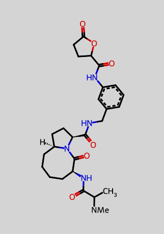 CNC(C)C(=O)N[C@H]1CCCC[C@H]2CC[C@@H](C(=O)NCc3cccc(NC(=O)C4CCC(=O)O4)c3)N2C1=O